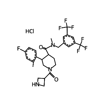 Cc1cc(F)ccc1C1CN(C(=O)C2CNC2)CCC1C(=O)N(C)Cc1cc(C(F)(F)F)cc(C(F)(F)F)c1.Cl